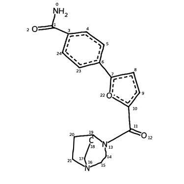 NC(=O)c1ccc(-c2ccc(C(=O)N3CCN4CCC3CC4)o2)cc1